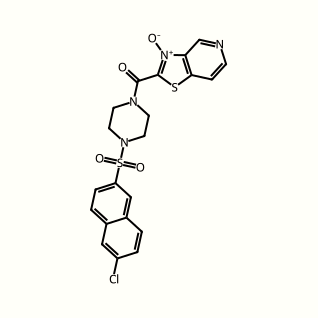 O=C(c1sc2ccncc2[n+]1[O-])N1CCN(S(=O)(=O)c2ccc3cc(Cl)ccc3c2)CC1